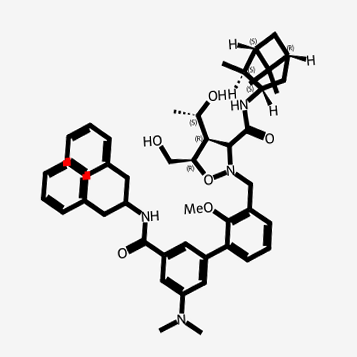 COc1c(CN2O[C@@H](CO)[C@@H]([C@H](C)O)C2C(=O)N[C@H]2C[C@H]3C[C@@H]([C@@H]2C)C3(C)C)cccc1-c1cc(C(=O)NC(Cc2ccccc2)Cc2ccccc2)cc(N(C)C)c1